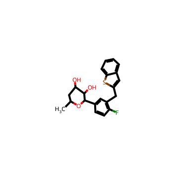 CC1CC(O)C(O)C(c2ccc(F)c(Cc3cc4ccccc4s3)c2)O1